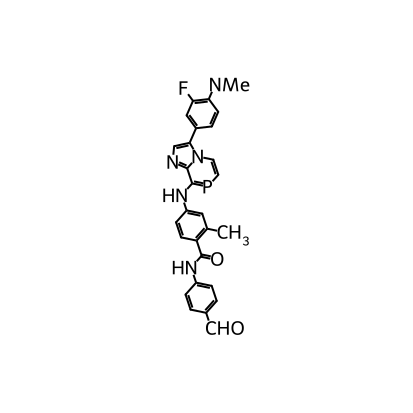 CNc1ccc(-c2cnc3c(Nc4ccc(C(=O)Nc5ccc(C=O)cc5)c(C)c4)pccn23)cc1F